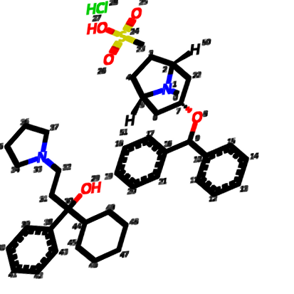 CN1[C@@H]2CC[C@H]1C[C@@H](OC(c1ccccc1)c1ccccc1)C2.CS(=O)(=O)O.Cl.OC(CCN1CCCC1)(c1ccccc1)C1CCCCC1